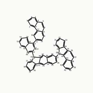 c1ccc2c(c1)ccc1ccc(-c3nc(-n4c5ccccc5c5cc6ccc(-n7c8ccccc8c8ccc9ccccc9c87)cc6cc54)nc4ccccc34)cc12